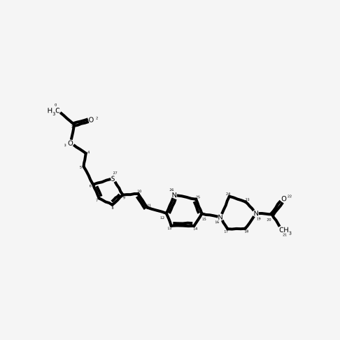 CC(=O)OCCc1ccc(C=Cc2ccc(N3CCN(C(C)=O)CC3)cn2)s1